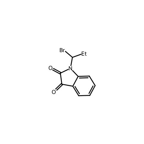 CCC(Br)N1C(=O)C(=O)c2ccccc21